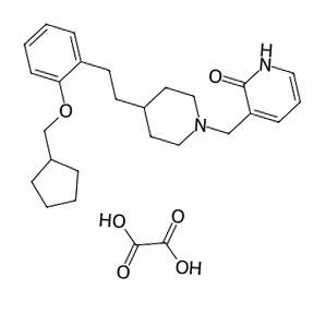 O=C(O)C(=O)O.O=c1[nH]cccc1CN1CCC(CCc2ccccc2OCC2CCCC2)CC1